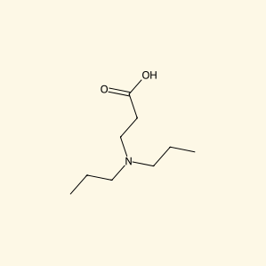 CCCN(CCC)CCC(=O)O